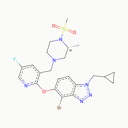 C[C@@H]1CN(Cc2cc(F)cnc2Oc2ccc3c(nnn3CC3CC3)c2Br)CCN1S(C)(=O)=O